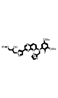 COc1cc(OC)c(F)c(N(Cc2ncc[nH]2)c2ccc3ncc(-c4cnn(CC(O)COC(C)C)c4)nc3n2)c1